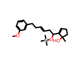 COc1cccc(CC/C=C/CC(O[Si](C)(C)C)C2=CCCC2(C)O)c1